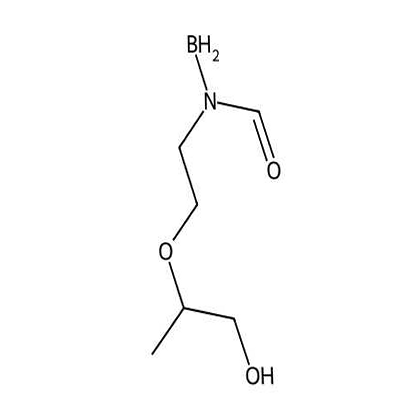 BN(C=O)CCOC(C)CO